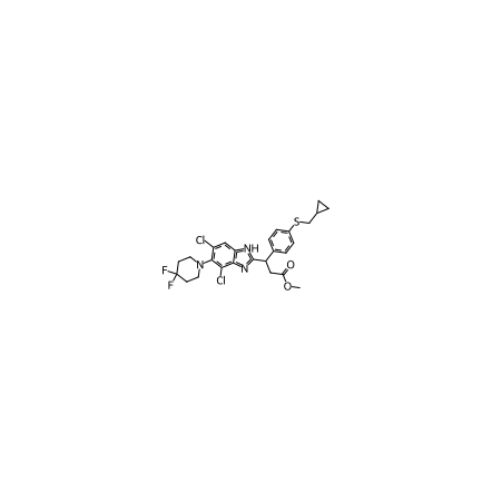 COC(=O)CC(c1ccc(SCC2CC2)cc1)c1nc2c(Cl)c(N3CCC(F)(F)CC3)c(Cl)cc2[nH]1